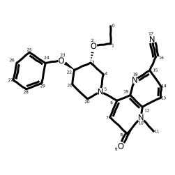 CCO[C@@H]1CN(c2cc(=O)n(C)c3ccc(C#N)nc23)CC[C@H]1Oc1ccccc1